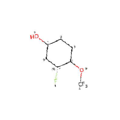 OC1CCC(OC(F)(F)F)[C@H](F)C1